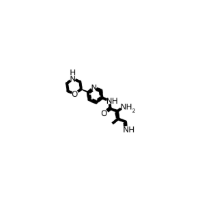 C/C(C=N)=C(/N)C(=O)Nc1ccc([C@@H]2CNCCO2)nc1